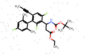 CC#Cc1cc(F)c(C(CC(=O)OCC)NC(=O)OC(C)(C)C)c(F)c1-c1c(C)cc(F)cc1C